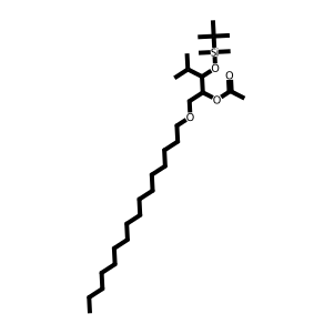 CCCCCCCCCCCCCCCCOCC(OC(C)=O)C(O[Si](C)(C)C(C)(C)C)C(C)C